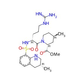 COC(=O)[C@H]1C[C@H](C)CCN1C(=O)[C@@H](CCCNC(=N)N)NS(=O)(=O)c1cccc2c1NC[C@H](C)C2